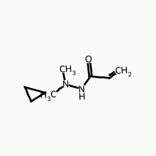 C1CC1.C=CC(=O)NN(C)C